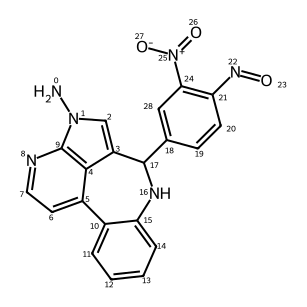 Nn1cc2c3c(ccnc31)-c1ccccc1NC2c1ccc(N=O)c([N+](=O)[O-])c1